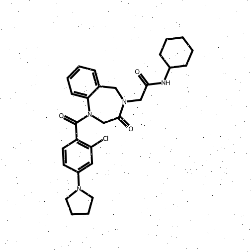 O=C(CN1Cc2ccccc2N(C(=O)c2ccc(N3CCCC3)cc2Cl)CC1=O)NC1CCCCC1